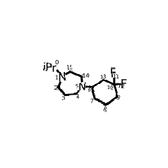 CC(C)N1CCCN(C2CCCC(F)(F)C2)CC1